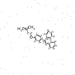 CN(C)CCOc1ccc(/C(=C/c2ccccc2)c2ccccc2)cc1